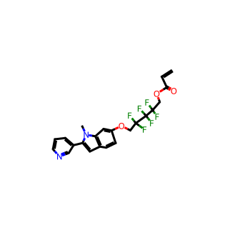 C=CC(=O)OCC(F)(F)C(F)(F)C(F)(F)COc1ccc2cc(-c3cccnc3)n(C)c2c1